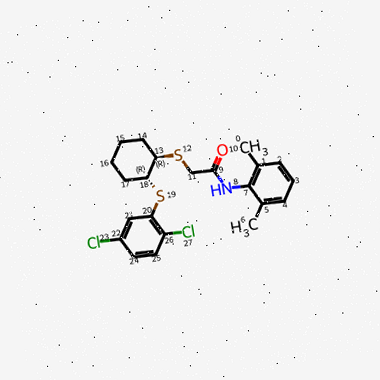 Cc1cccc(C)c1NC(=O)CS[C@@H]1CCCC[C@H]1Sc1cc(Cl)ccc1Cl